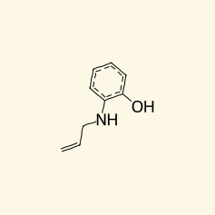 C=CCNc1ccccc1O